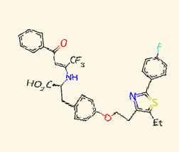 CCc1sc(-c2ccc(F)cc2)nc1CCOc1ccc(C[C@H](NC(=CC(=O)c2ccccc2)C(F)(F)F)C(=O)O)cc1